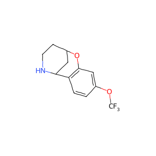 FC(F)(F)Oc1ccc2c(c1)OC1CCNC2C1